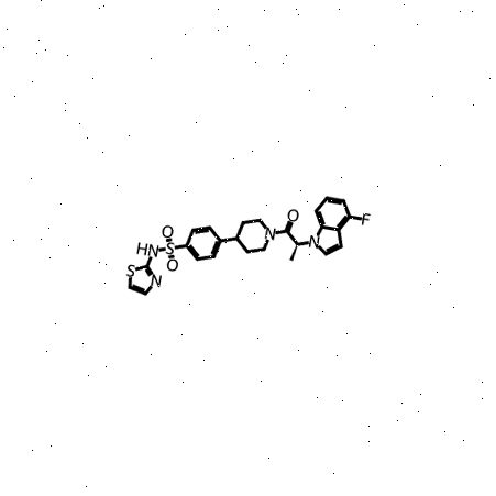 C[C@@H](C(=O)N1CCC(c2ccc(S(=O)(=O)Nc3nccs3)cc2)CC1)n1ccc2c(F)cccc21